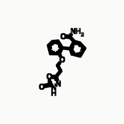 NC(=O)c1ccccc1-c1ccccc1OCCc1n[nH]c(=O)o1